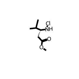 COC(=O)C[C@@H](NCl)C(C)C